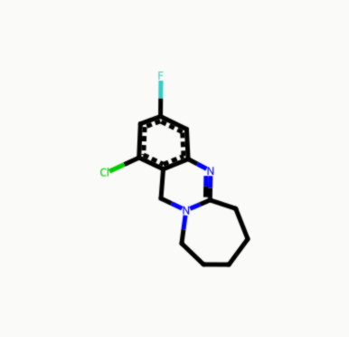 Fc1cc(Cl)c2c(c1)N=C1CCCCCN1C2